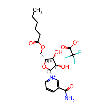 CCCCCC(=O)OC[C@H]1O[C@@H]([n+]2cccc(C(N)=O)c2)[C@H](O)[C@@H]1O.O=C([O-])C(F)(F)F